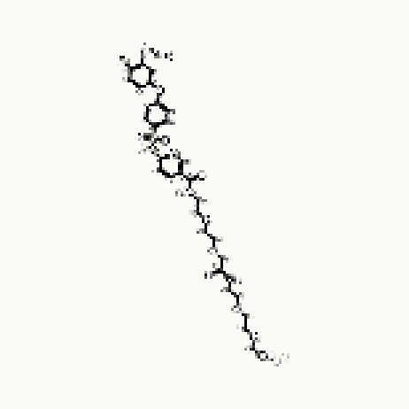 CCCCCc1cc(Oc2ccc(S(=O)(=O)Nc3ccc(C(=O)NCCOCCOCC(=O)NCCOCCOCC(=O)O)cn3)cc2)ccc1F